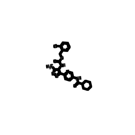 Cc1noc(-c2ccc(NC(=O)C3CCCCC3)cn2)c1NC(=O)OCc1ccccc1Cl